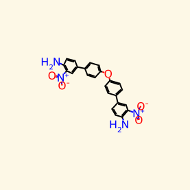 Nc1ccc(-c2ccc(Oc3ccc(-c4ccc(N)c([N+](=O)[O-])c4)cc3)cc2)cc1[N+](=O)[O-]